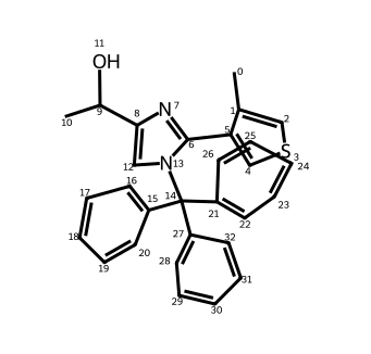 Cc1cscc1-c1nc(C(C)O)cn1C(c1ccccc1)(c1ccccc1)c1ccccc1